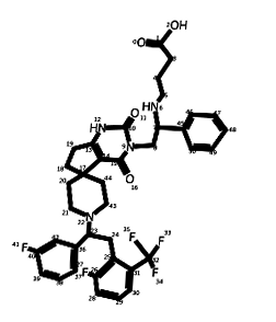 O=C(O)CCCNC(Cn1c(=O)[nH]c2c(c1=O)C1(CC2)CCN(C(Cc2c(F)cccc2C(F)(F)F)c2cccc(F)c2)CC1)c1ccccc1